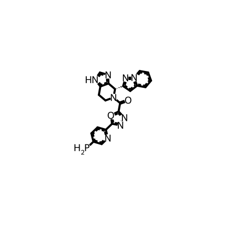 O=C(c1nnc(-c2ccc(P)cn2)o1)N1CCc2[nH]cnc2[C@@H]1c1cc2ccccn2n1